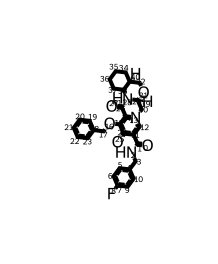 O=C(NCc1ccc(F)cc1)c1cn2c(c(OCc3ccccc3)c1=O)C(=O)N1[C@@H](C2)OC[C@@H]2CCCC[C@@H]21